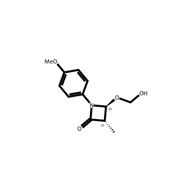 COc1ccc(N2C(=O)[C@@H](C)[C@@H]2OCO)cc1